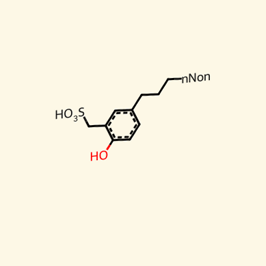 CCCCCCCCCCCCc1ccc(O)c(CS(=O)(=O)O)c1